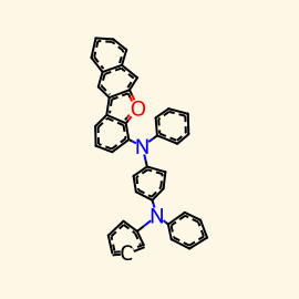 c1ccc(N(c2ccccc2)c2ccc(N(c3ccccc3)c3cccc4c3oc3cc5ccccc5cc34)cc2)cc1